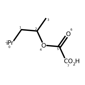 C[C](C)CC(C)OC(=O)C(=O)O